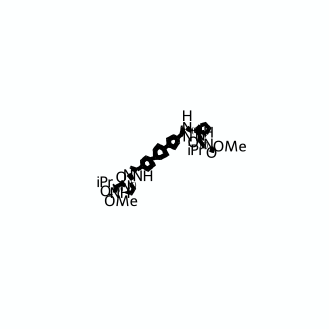 COC(=O)N[C@H](C(=O)N1CCC[C@H]1c1ncc(-c2ccc(-c3ccc(-c4ccc(-c5c[nH]c([C@@H]6C7CCC(C7)N6C(=O)[C@@H](NC(=O)OC)C(C)C)n5)cc4)cc3)cc2)[nH]1)C(C)C